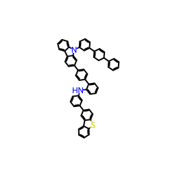 C1=CC(c2ccccc2)CC=C1c1cccc(-n2c3ccccc3c3ccc(-c4ccc(-c5ccccc5Nc5cccc(-c6ccc7sc8ccccc8c7c6)c5)cc4)cc32)c1